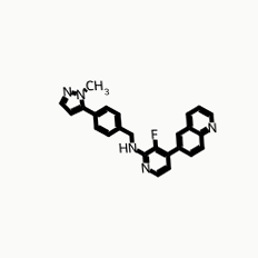 Cn1nccc1-c1ccc(CNc2nccc(-c3ccc4ncccc4c3)c2F)cc1